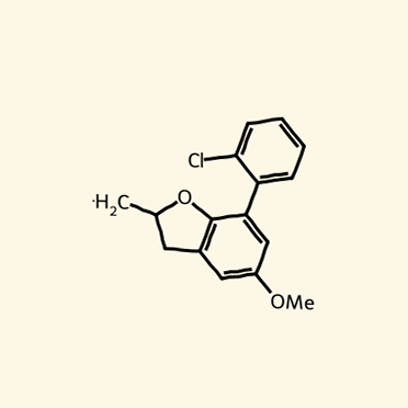 [CH2]C1Cc2cc(OC)cc(-c3ccccc3Cl)c2O1